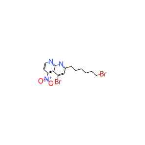 O=[N+]([O-])c1ccnc2nc(CCCCCCBr)cc(Br)c12